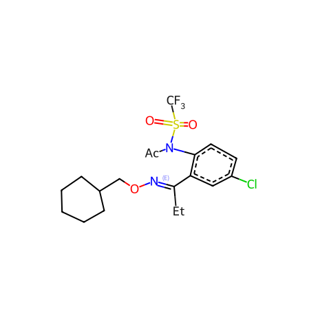 CC/C(=N\OCC1CCCCC1)c1cc(Cl)ccc1N(C(C)=O)S(=O)(=O)C(F)(F)F